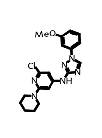 COc1cccc(-n2cnc(Nc3cc(Cl)nc(N4CCCCC4)c3)n2)c1